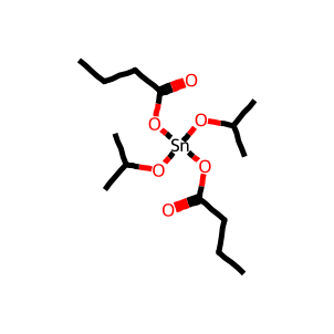 CCCC(=O)[O][Sn]([O]C(=O)CCC)([O]C(C)C)[O]C(C)C